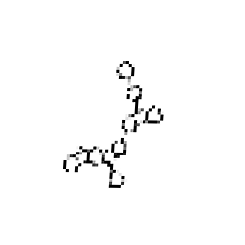 c1ccc(-c2ccc(-n3c4ccccc4c4cc(-c5ccc6c(c5)c5cc7oc8ccccc8c7cc5n6-c5ccccc5)ccc43)cc2)cc1